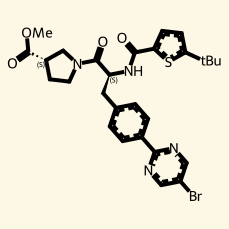 COC(=O)[C@H]1CCN(C(=O)[C@H](Cc2ccc(-c3ncc(Br)cn3)cc2)NC(=O)c2ccc(C(C)(C)C)s2)C1